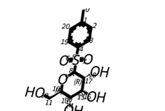 Cc1ccc(S(=O)(=O)[C]2O[C@H](CO)[C@@H](O)[C@H](O)[C@H]2O)cc1